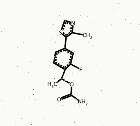 Cc1ncsc1-c1ccc(C(C)OC(N)=O)c(F)c1